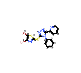 Brc1nc(Sc2nnc(-c3ccccn3)n2-c2ccccc2)sc1Br